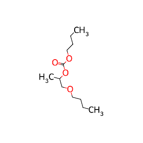 CCCCOCC(C)OC(=O)OCCCC